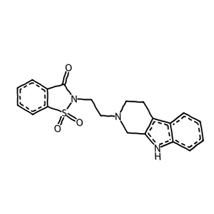 O=C1c2ccccc2S(=O)(=O)N1CCN1CCc2c([nH]c3ccccc23)C1